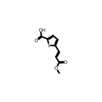 COC(=O)/C=C/c1ccc(C(=O)O)s1